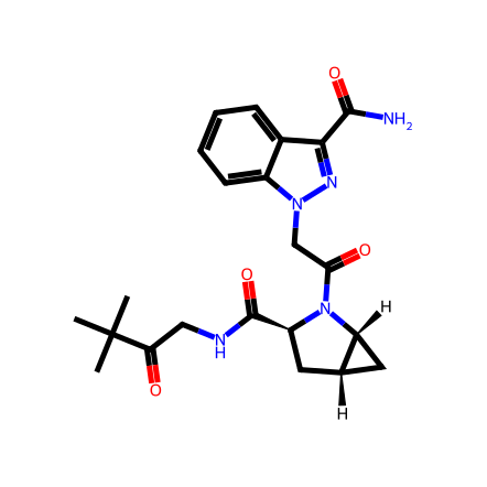 CC(C)(C)C(=O)CNC(=O)[C@@H]1C[C@H]2C[C@H]2N1C(=O)Cn1nc(C(N)=O)c2ccccc21